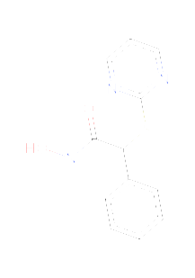 O=C(NO)C(Sc1ncccn1)c1ccccc1